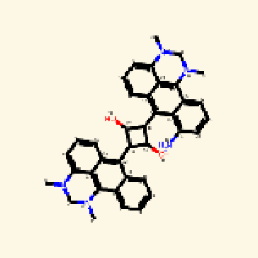 CN1CN(C)c2c3ccccc3c(C3C(O)C(c4c5cccc6c5c(c5cccc(N)c45)N(C)CN6C)C3O)c3cccc1c23